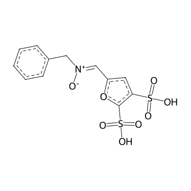 O=S(=O)(O)c1cc(C=[N+]([O-])Cc2ccccc2)oc1S(=O)(=O)O